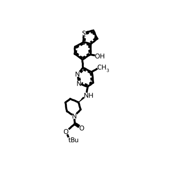 Cc1cc(N[C@@H]2CCCN(C(=O)OC(C)(C)C)C2)nnc1-c1ccc2sccc2c1O